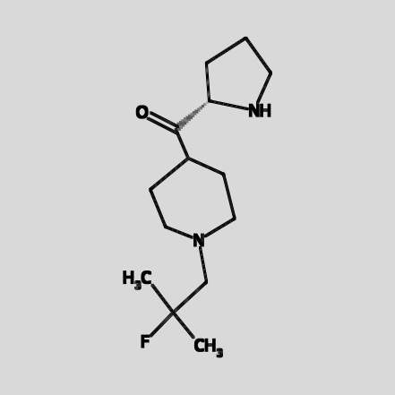 CC(C)(F)CN1CCC(C(=O)[C@@H]2CCCN2)CC1